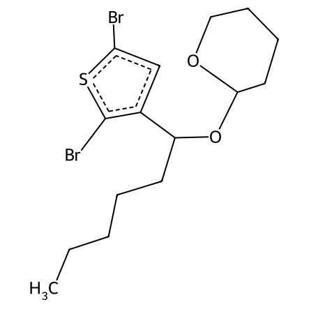 CCCCCC(OC1CCCCO1)c1cc(Br)sc1Br